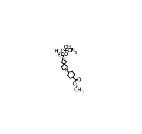 CCOC(=O)C1CCC(N2CCC3(CN(C(=O)OC(C)(C)C)C3)C2)CC1